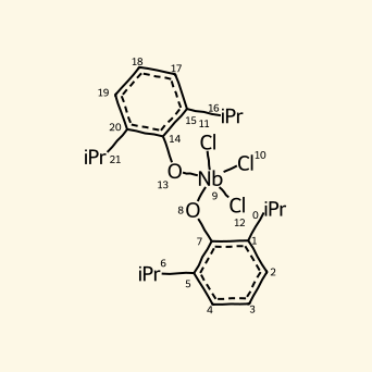 CC(C)c1cccc(C(C)C)c1[O][Nb]([Cl])([Cl])([Cl])[O]c1c(C(C)C)cccc1C(C)C